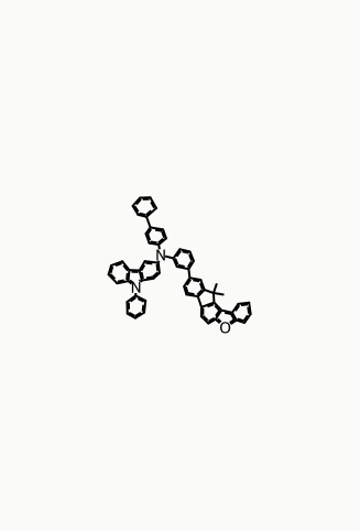 CC1(C)c2cc(-c3cccc(N(c4ccc(-c5ccccc5)cc4)c4ccc5c(c4)c4ccccc4n5-c4ccccc4)c3)ccc2-c2ccc3oc4ccccc4c3c21